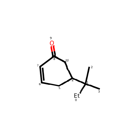 CCC(C)(C)C1CC=CC(=O)C1